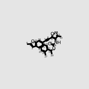 Cc1cc2ccc(C#Cc3onc(C)c3NC(=O)OC(C)c3ccccc3C)cc2o1